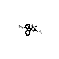 CCCCOc1cccc(C2(C3CCCCC3)N=C(N)N(C)C2=O)c1